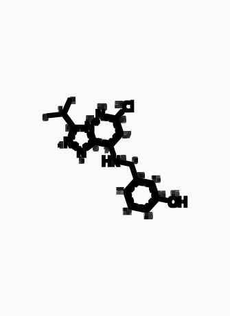 CC(C)c1nnc2c(NCc3cccc(O)c3)cc(Cl)nn12